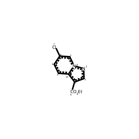 CCOC(=O)c1cnn2cc(Cl)ccc12